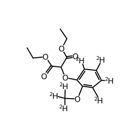 [2H]c1c([2H])c([2H])c(OC([2H])([2H])[2H])c(OC(C(=O)OCC)C(=O)OCC)c1[2H]